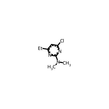 CCc1cc(Cl)nc(N(C)C)n1